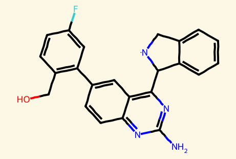 Nc1nc(C2[N]Cc3ccccc32)c2cc(-c3cc(F)ccc3CO)ccc2n1